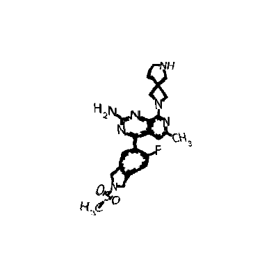 Cc1cc2c(-c3cc4c(cc3F)CN(S(C)(=O)=O)C4)nc(N)nc2c(N2CC3(CCNC3)C2)n1